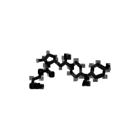 CCC(CC1CCC(C)N1C(=O)OCCOC)N1CCC(N(C(C)=O)c2ccc(F)cc2)CC1